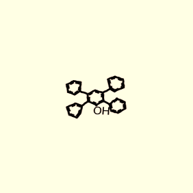 Oc1c(-c2ccccc2)c(-c2ccccc2)cc(-c2ccccc2)c1-c1ccccc1